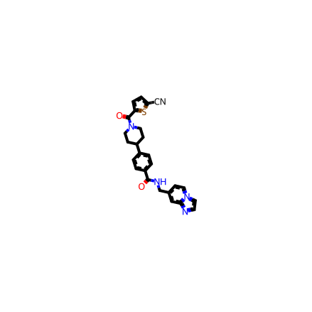 N#Cc1ccc(C(=O)N2CCC(c3ccc(C(=O)NCc4ccn5ccnc5c4)cc3)CC2)s1